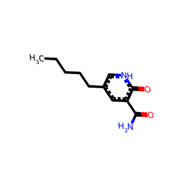 CCCCCc1c[nH]c(=O)c(C(N)=O)c1